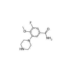 COc1c(F)cc(C(N)=O)cc1N1CCNCC1